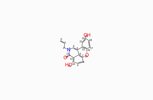 C=CCn1cc2c3c(ccc(O)c3c1=O)Oc1ccc(O)cc1-2